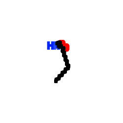 CCCCCCCC/C=C\CCCCCCCC(=O)C1CNCCO1